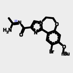 CCCCOc1cc2c(cc1Br)-c1nc(C(=O)/N=C(/C)N)cn1CCO2